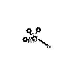 OCCCCCCC[C@@H]1O[C@@H](O)[C@@H](OCc2ccccc2)[C@H](OCc2ccccc2)[C@@H]1OCc1ccccc1